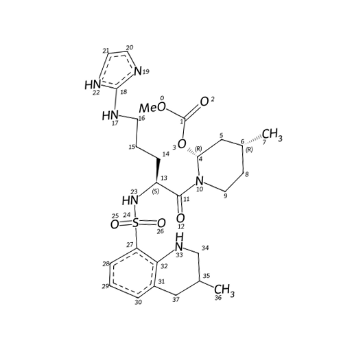 COC(=O)O[C@@H]1C[C@H](C)CCN1C(=O)[C@H](CCCNc1ncc[nH]1)NS(=O)(=O)c1cccc2c1NCC(C)C2